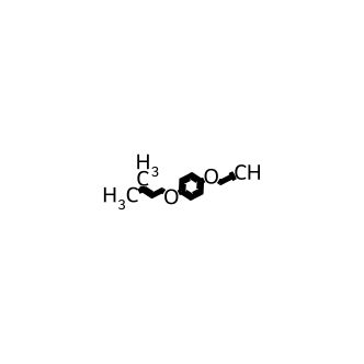 C#CCOc1ccc(OCC=C(C)C)cc1